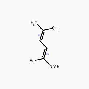 CN/C(=C/C=C(\C)C(F)(F)F)C(C)=O